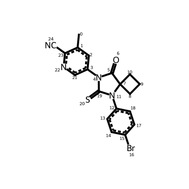 Cc1cc(N2C(=O)C3(CCC3)N(c3ccc(Br)cc3)C2=S)cnc1C#N